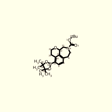 CC(C)(C)OC(=O)N1CCc2ccc(B3OC(C)(C)C(C)(C)O3)c3c2C(C1)OCC3